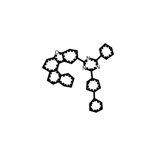 c1ccc(-c2ccc(-c3nc(-c4ccccc4)nc(-c4ccc5oc6ccc7ccc8ccccc8c7c6c5c4)n3)cc2)cc1